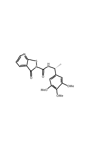 COc1cc([C@@H](C)NC(=O)n2sc3ncccc3c2=O)cc(OC)c1OC